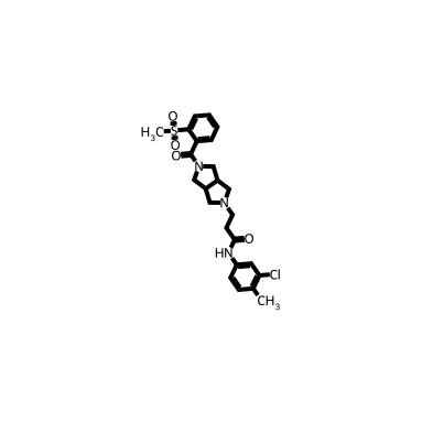 Cc1ccc(NC(=O)CCN2CC3CN(C(=O)c4ccccc4S(C)(=O)=O)CC3C2)cc1Cl